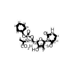 CC(NP(=O)(OC[C@H]1O[C@@H](n2c(=O)cc[nH]c2=O)[C@@](C)(F)[C@@H]1O)Oc1ccccc1)C(=O)O